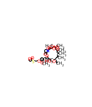 C=CC[C@@H]1/C=C(\C)C[C@H](C)C[C@H](OC)C2O[C@@](O)(C(=O)C(=O)N3CCCC[C@H]3C(=O)O[C@H](/C(C)=C/[C@@H]3CC[C@@H](OCCCS[C@@H]4CCOC4=O)[C@H](OC)C3)[C@H](C)[C@@H](O)CC1=O)[C@H](C)C[C@@H]2OC